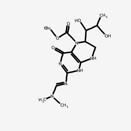 CC(O)C(O)C1CNc2[nH]c(N=CN(C)C)nc(=O)c2N1C(=O)OC(C)(C)C